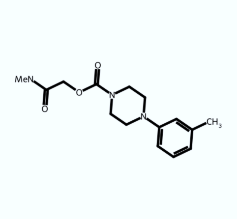 CNC(=O)COC(=O)N1CCN(c2cccc(C)c2)CC1